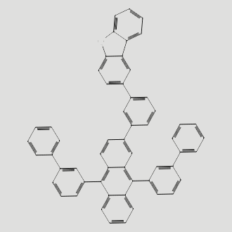 c1ccc(-c2cccc(-c3c4ccccc4c(-c4cccc(-c5ccccc5)c4)c4cc(-c5cccc(-c6ccc7oc8ccccc8c7c6)c5)ccc34)c2)cc1